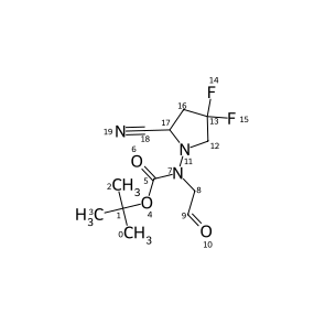 CC(C)(C)OC(=O)N(CC=O)N1CC(F)(F)CC1C#N